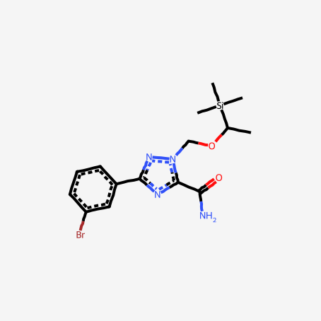 CC(OCn1nc(-c2cccc(Br)c2)nc1C(N)=O)[Si](C)(C)C